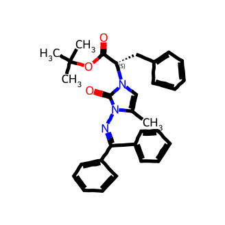 Cc1cn([C@@H](Cc2ccccc2)C(=O)OC(C)(C)C)c(=O)n1N=C(c1ccccc1)c1ccccc1